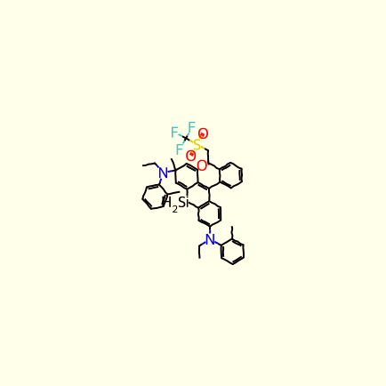 CCN(c1ccc2c(c1)[SiH2]C1=CC(C)(N(CC)c3ccccc3C)C=CC1=C2c1ccccc1C(=O)CS(=O)(=O)C(F)(F)F)c1ccccc1C